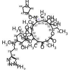 CC[C@H]1OC(=O)[C@H](C)C(=O)[C@H](C)[C@@H](O[C@@H]2O[C@H](C)C[C@H](N(C)CCc3cn(P)nn3)[C@H]2O)[C@](C)(OC)C[C@@H](C)/C(=N\O[C@@H]2CCNC2)[C@H](C)[C@@H](O)[C@]1(C)O